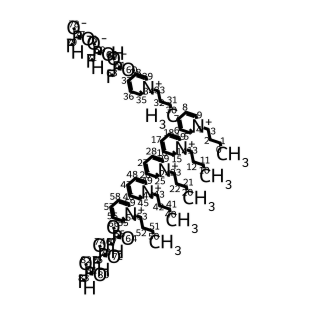 CCCC[n+]1ccccc1.CCCC[n+]1ccccc1.CCCC[n+]1ccccc1.CCCC[n+]1ccccc1.CCCC[n+]1ccccc1.CCCC[n+]1ccccc1.O=[PH]([O-])F.O=[PH]([O-])F.O=[PH]([O-])F.O=[PH]([O-])F.O=[PH]([O-])F.O=[PH]([O-])F